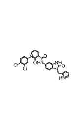 O=C1Nc2cc(NC(=O)c3cccn(-c4ccc(Cl)c(Cl)c4)c3=O)ccc2C1=Cc1ccc[nH]1